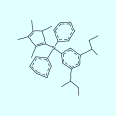 CCC(C)c1cc(C(C)CC)cc([Si](C2=C(C)C(C)=C(C)C2C)(c2ccccc2)c2ccccc2)c1